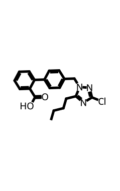 CCCCc1nc(Cl)nn1Cc1ccc(-c2ccccc2C(=O)O)cc1